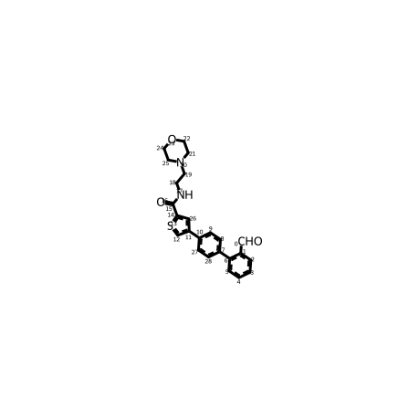 O=Cc1ccccc1-c1ccc(-c2csc(C(=O)NCCN3CCOCC3)c2)cc1